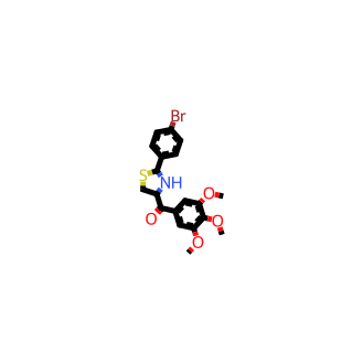 COc1cc(C(=O)C2CSC(c3ccc(Br)cc3)N2)cc(OC)c1OC